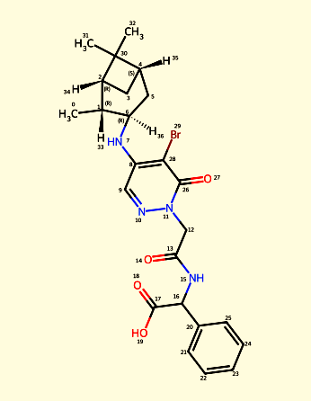 C[C@@H]1[C@H]2C[C@@H](C[C@H]1Nc1cnn(CC(=O)NC(C(=O)O)c3ccccc3)c(=O)c1Br)C2(C)C